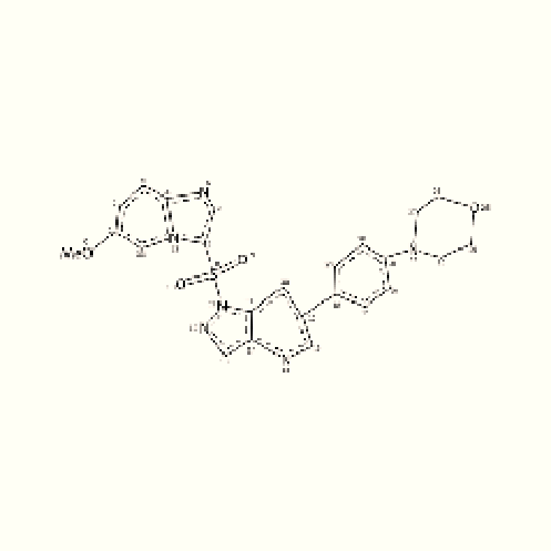 COc1ccc2ncc(S(=O)(=O)n3ncc4ncc(-c5ccc(N6CCOCC6)cc5)cc43)n2c1